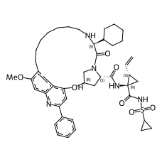 C=C[C@@H]1C[C@]1(NC(=O)[C@@H]1C[C@@H]2CN1C(=O)[C@H](C1CCCCC1)NCCCCCCCc1cc3c(cc(-c4ccccc4)nc3cc1OC)O2)C(=O)NS(=O)(=O)C1CC1